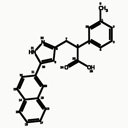 Cc1cccc(C(Cc2cc(-c3ccc4ccccc4c3)[nH]n2)C(=O)O)c1